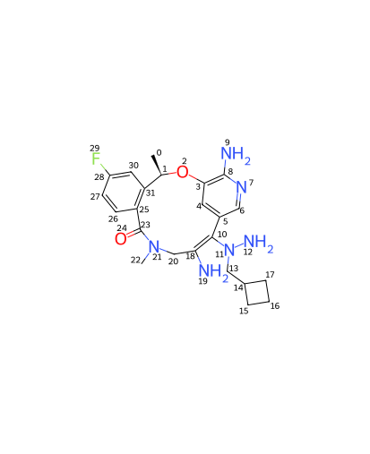 C[C@H]1Oc2cc(cnc2N)/C(N(N)CC2CCC2)=C(/N)CN(C)C(=O)c2ccc(F)cc21